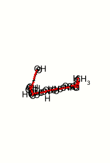 COc1ccc(CC(NC(=O)COCCOCCNC(=O)COCCOCCNC(=O)COCCOCCNC(=O)COCCOCCNC(=O)CC[C@@H](NC(=O)CCC(NC(=O)CCCCCCCCCCCCCCCCC(=O)O)C(=O)O)C(=O)O)C(=O)I)cc1